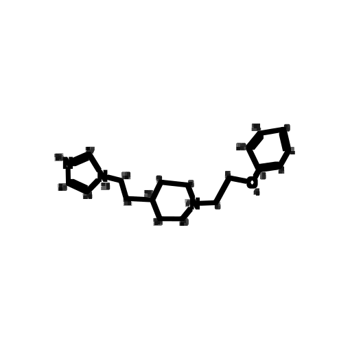 c1ccc(OCCN2CCC(CCn3ccnc3)CC2)cc1